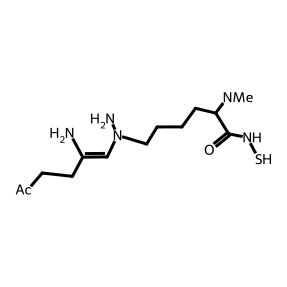 CNC(CCCCN(N)/C=C(\N)CCC(C)=O)C(=O)NS